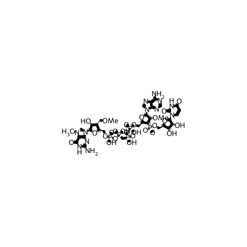 COC[C@H]1[C@@H](O)[C@H](n2c[n+](C)c3c(=O)[nH]c(N)nc32)O[C@@H]1COP(=O)(O)OP(=O)(O)CP(=O)(O)OP(=O)(O)OC[C@H]1O[C@@H](n2cnc3c(N)ncnc32)[C@H](OC)[C@@H]1P(=O)([O-])OC[C@H]1O[C@@H](n2ccc(=O)[nH]c2=O)[C@H](O)[C@@H]1O